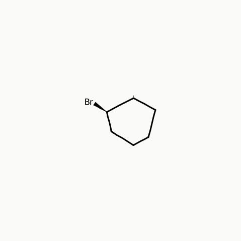 Br[C@H]1[CH]CCCC1